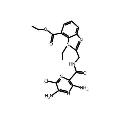 CCOC(=O)c1cccc2nc(CNC(=O)c3nc(Cl)c(N)nc3N)n(CC)c12